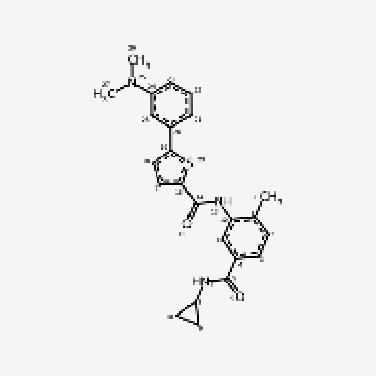 Cc1ccc(C(=O)NC2CC2)cc1NC(=O)c1ccc(-c2cccc(N(C)C)c2)s1